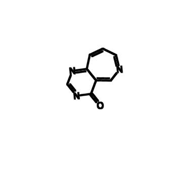 O=c1ncnc2cccncc1-2